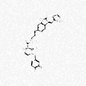 O=C1Nc2cc(/C=C/CNC(=O)c3nccn(Cc4ccc(F)c(F)c4)c3=O)ccc2C1=Cc1ccc[nH]1